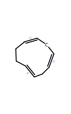 [C]1=C\C/C=C\C/C=C/CC/1